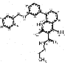 CCCNC(=O)c1c(N)c2cccc(-c3cccc(OCc4ccccn4)c3)c2[nH]c1=O